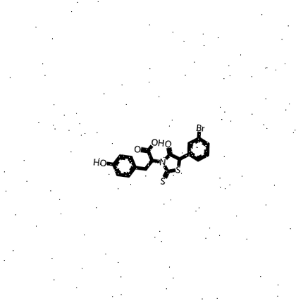 O=C(O)C(Cc1ccc(O)cc1)N1C(=O)C(c2cccc(Br)c2)SC1=S